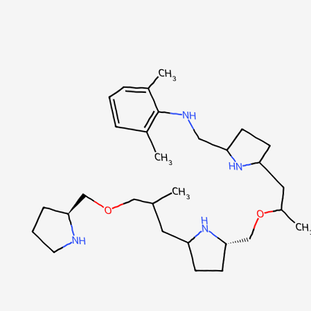 Cc1cccc(C)c1NCC1CCC(CC(C)OC[C@@H]2CCC(CC(C)COC[C@@H]3CCCN3)N2)N1